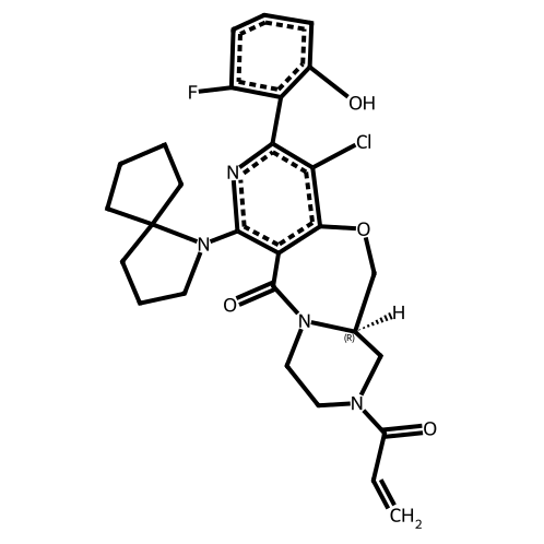 C=CC(=O)N1CCN2C(=O)c3c(N4CCCC45CCCC5)nc(-c4c(O)cccc4F)c(Cl)c3OC[C@H]2C1